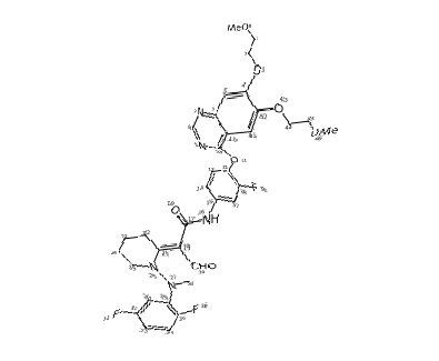 COCCOc1cc2ncnc(Oc3ccc(NC(=O)/C(C=O)=C4\CCCCN4N(C)c4cc(F)ccc4F)cc3F)c2cc1OCCOC